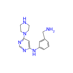 NCc1cccc(Nc2cc(N3CCNCC3)ncn2)c1